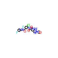 O=C(NCc1cccc(F)c1)c1cc(NC(=O)c2cc3cnc(N4CCOCC4)nc3[nH]c2=O)c(Cl)cc1F